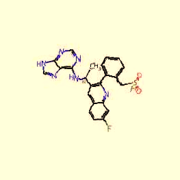 C[C@H](Nc1ncnc2[nH]cnc12)c1cc2ccc(F)cc2nc1-c1ccccc1C[SH](=O)=O